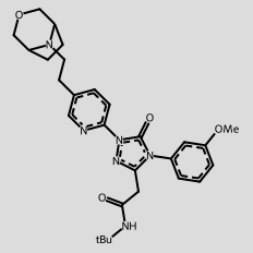 COc1cccc(-n2c(CC(=O)NC(C)(C)C)nn(-c3ccc(CCN4C5CCC4COC5)cn3)c2=O)c1